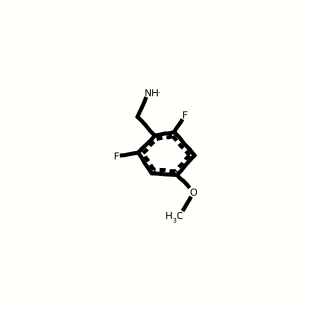 COc1cc(F)c(C[NH])c(F)c1